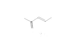 CC=CC(C)=O.[MgH2]